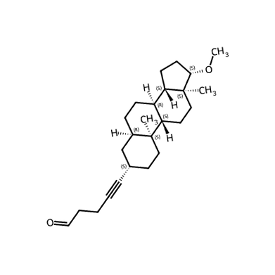 CO[C@H]1CC[C@H]2[C@@H]3CC[C@@H]4C[C@@H](C#CCCC=O)CC[C@]4(C)[C@H]3CC[C@]12C